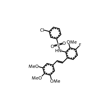 COc1cc(C=Cc2ccc(F)c(OC)c2NS(=O)(=O)c2cccc(Cl)c2)cc(OC)c1OC